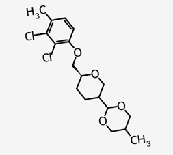 Cc1ccc(OC[C@@H]2CCC(C3OCC(C)CO3)CO2)c(Cl)c1Cl